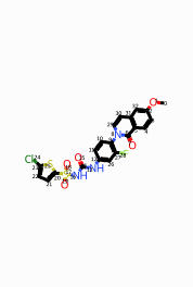 COc1ccc2c(=O)n(-c3ccc(NC(=O)NS(=O)(=O)c4ccc(Cl)s4)cc3F)ccc2c1